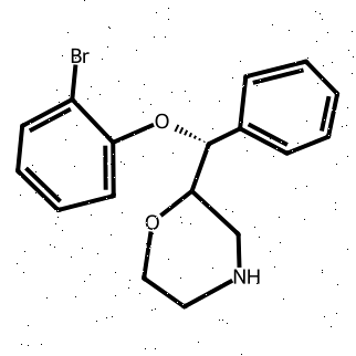 Brc1ccccc1O[C@H](c1ccccc1)C1CNCCO1